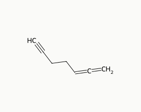 C#CCCC=C=C